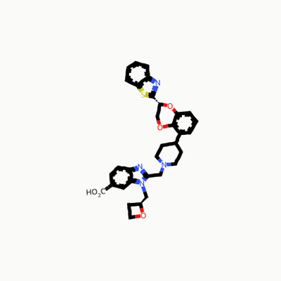 O=C(O)c1ccc2nc(CN3CCC(c4cccc5c4OC[C@H](c4nc6ccccc6s4)O5)CC3)n(C[C@@H]3CCO3)c2c1